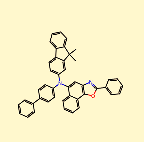 CC1(C)c2ccccc2-c2ccc(N(c3ccc(-c4ccccc4)cc3)c3cc4nc(-c5ccccc5)oc4c4ccccc34)cc21